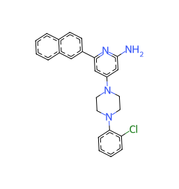 Nc1cc(N2CCN(c3ccccc3Cl)CC2)cc(-c2ccc3ccccc3c2)n1